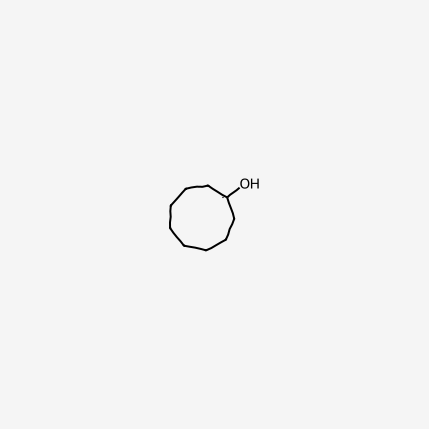 O[C]1CCCCCCCC1